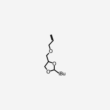 C=CCOCC1COC(C(C)CC)O1